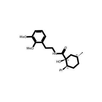 COc1cccc(CCNC(=O)[C@]2(O)C[C@H](C)CC[C@H]2C(C)C)c1OC